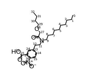 CCCCCCCCCCN(CCc1ccc([N+](=O)[O-])c(C(=O)O)c1)C(=O)COCCCC